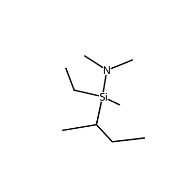 CCC(C)[Si](C)(CC)N(C)C